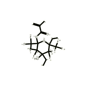 C=C(C)C(=O)OC1(C(F)(F)F)OC(CC)(C(F)(F)F)C(F)(F)C(O)(CC)C1(F)F